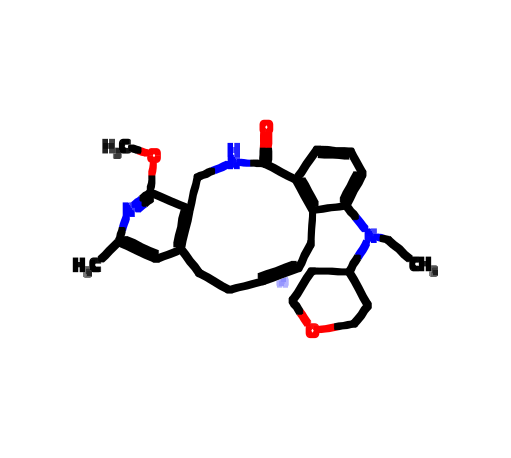 CCN(c1cccc2c1C/C=C\CCc1cc(C)nc(OC)c1CNC2=O)C1CCOCC1